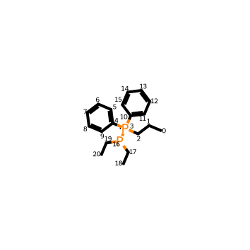 CCC[P](c1ccccc1)(c1ccccc1)P(CC)CC